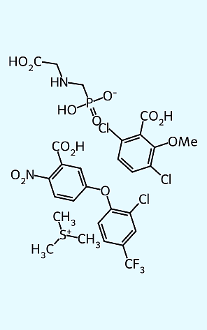 COc1c(Cl)ccc(Cl)c1C(=O)O.C[S+](C)C.O=C(O)CNCP(=O)([O-])O.O=C(O)c1cc(Oc2ccc(C(F)(F)F)cc2Cl)ccc1[N+](=O)[O-]